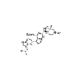 CNc1nc(N[C@@H]2CCN(C(C)=O)CC2(F)F)nn2ccc(-c3ccc4ncn(CC(F)F)c4n3)c12